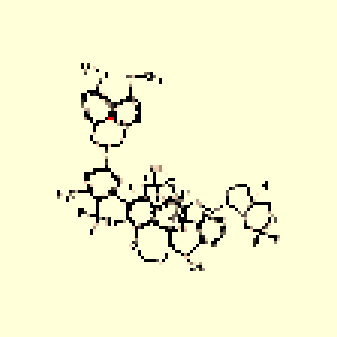 COc1ccc(CN(Cc2ccc(OC)cc2)c2cc(C)c(C(F)(F)F)c(-c3c(Cl)c4c5c(nc(OC[C@@H]6CC[C@H]7COC(F)(F)CN67)nc5c3F)N([C@H](C)c3cccnc3NC(=O)OC(C)(C)C)CCO4)n2)cc1